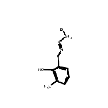 CC[SiH2]/N=N/Cc1cccc(C)c1O